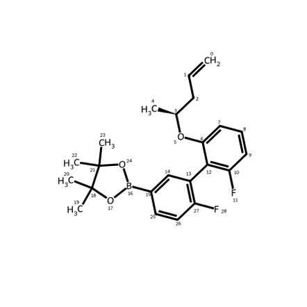 C=CC[C@H](C)Oc1cccc(F)c1-c1cc(B2OC(C)(C)C(C)(C)O2)ccc1F